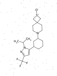 CC(C)n1nc(C(F)(F)F)cc1C1CCCC(N2CCC3(CC2)C[S+]([O-])C3)C1